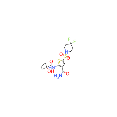 NC(=O)c1cc(S(=O)(=O)N2CCC(F)(F)CC2)sc1NC(=O)C1(O)CCC1